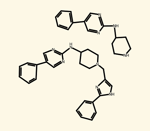 c1ccc(-c2cnc(NC3CCN(Cc4c[nH]c(-c5ccccc5)n4)CC3)nc2)cc1.c1ccc(-c2cnc(NC3CCNCC3)nc2)cc1